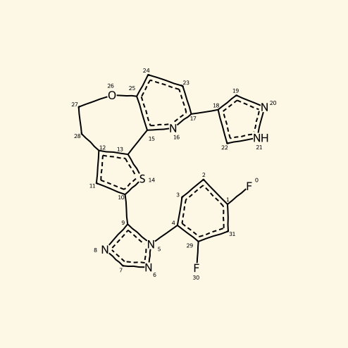 Fc1ccc(-n2ncnc2-c2cc3c(s2)-c2nc(-c4cn[nH]c4)ccc2OCC3)c(F)c1